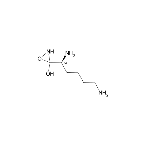 NCCCC[C@H](N)C1(O)NO1